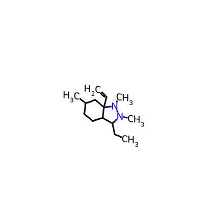 C=CC12CC(C)CCC1C(CC)N(C)N2C